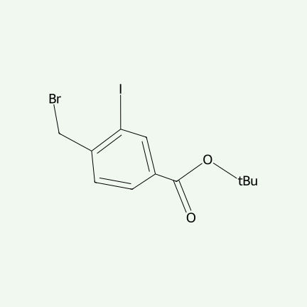 CC(C)(C)OC(=O)c1ccc(CBr)c(I)c1